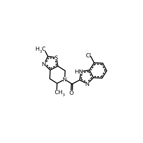 Cc1nc2c(s1)CN(C(=O)c1nc3cccc(Cl)c3[nH]1)C(C)C2